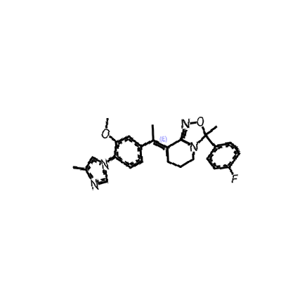 COc1cc(/C(C)=C2\CCCN3C2=NOC3(C)c2ccc(F)cc2)ccc1-n1cnc(C)c1